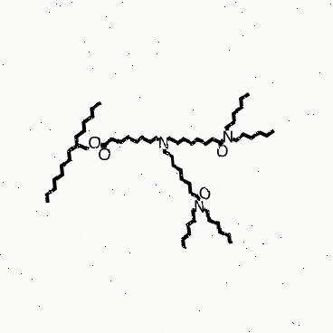 CCCCCCCCC(CCCCCC)COC(=O)CCCCCCCN(CCCCCCCC(=O)N(CCCCCC)CCCCCC)CCCCCCCC(=O)N(CCCCCC)CCCCCC